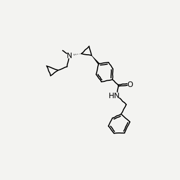 CN(CC1CC1)[C@@H]1C[C@H]1c1ccc(C(=O)NCc2ccccc2)cc1